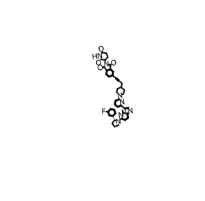 O=C1CCC(N2C(=O)c3ccc(C#CCC4CCN(c5cccc(-c6cnc7ccc(N8CCC[C@@H]8c8cccc(F)c8)nn67)n5)CC4)cc3C2=O)C(=O)N1